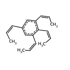 C/C=C\c1[c]c(/C=C\C)c(/C=C\C)c(/C=C\C)c1